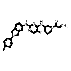 C=CC(=O)N1CCCC(Nc2nc(Nc3ccc4c(c3)CN(c3ccc(F)cc3)C4)ncc2F)C1